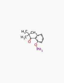 CC(C)(C)C(=O)c1ccccc1OP